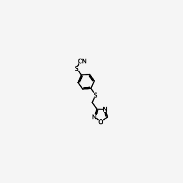 N#CSc1ccc(SCc2ncon2)cc1